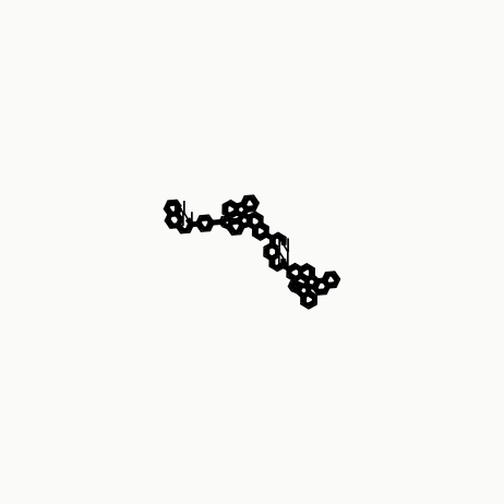 c1ccc2c(c1)-c1ccccc1C21c2ccc3cc(-c4ccnc5c4ccc4ccc(-c6ccc7c8c(ccc7c6)-c6c(ccc7ccccc67)C86c7ccccc7-c7ccccc76)nc45)ccc3c2-c2ccc3cc(-c4ccc(-c5ccc6ccc7cccnc7c6n5)cc4)ccc3c21